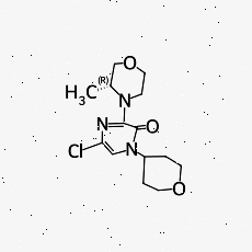 C[C@@H]1COCCN1c1nc(Cl)cn(C2CCOCC2)c1=O